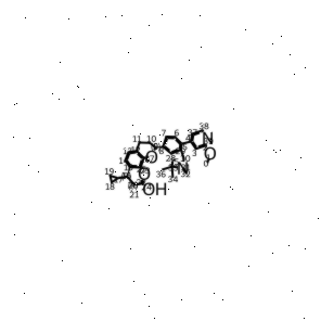 COc1cc(-c2ccc([C@@H]3CCc4ccc([C@H](C5CC5)[C@@H](C)C(=O)O)cc4O3)cc2CN(C)C(C)(C)C)ccn1